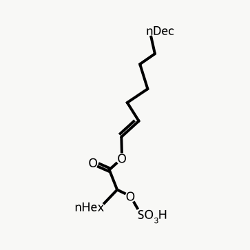 CCCCCCCCCCCCCCC=COC(=O)C(CCCCCC)OS(=O)(=O)O